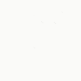 Cc1ccc2c(Cc3ccc(Cl)cc3F)nccc2c1N1CN=C(N)c2sccc21